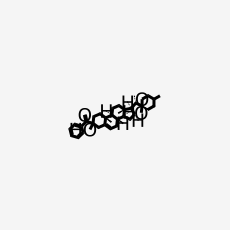 CC1CC[C@@]2(OC1)O[C@H]1C[C@H]3[C@@H]4CC=C5CC(O)(C(=O)c6ccccc6)CC[C@]5(C)[C@H]4CC[C@]3(C)[C@H]1[C@@H]2C